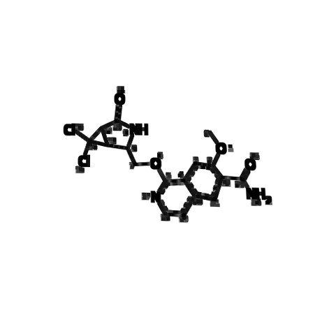 COc1cc2c(OCC3NC(=O)C4C3C4(Cl)Cl)nccc2cc1C(N)=O